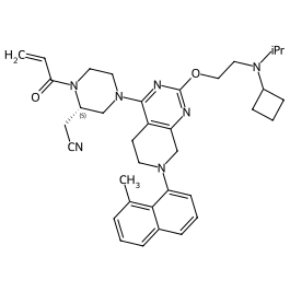 C=CC(=O)N1CCN(c2nc(OCCN(C(C)C)C3CCC3)nc3c2CCN(c2cccc4cccc(C)c24)C3)C[C@@H]1CC#N